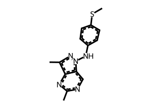 CSc1ccc(Nn2nc(C)c3nc(C)ncc32)cc1